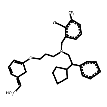 O=C(O)/C=C1\C=CC=C(OCCCN(Cc2cccc(C(F)(F)F)c2Cl)CC(c2ccccc2)C2CCCC2)C1